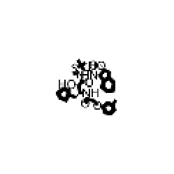 Cc1cccc(OCC(=O)N[C@@H](Cc2ccccc2)[C@H](O)C(=O)N2CSC(C)(C)[C@H]2C(=O)N[C@H]2c3ccccc3C[C@H]2O)c1